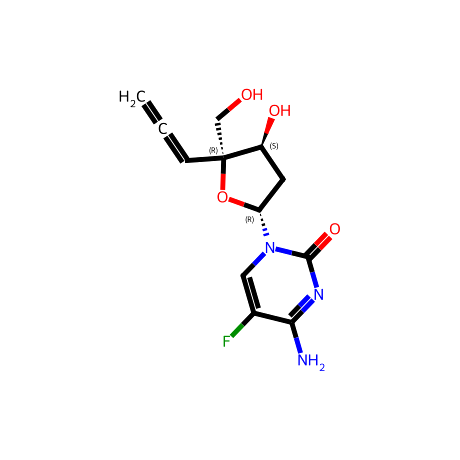 C=C=C[C@]1(CO)O[C@@H](n2cc(F)c(N)nc2=O)C[C@@H]1O